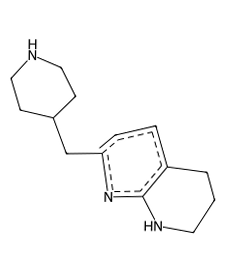 c1cc2c(nc1CC1CCNCC1)NCCC2